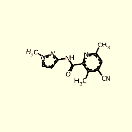 Cc1cc(C#N)c(C)c(C(=O)Nc2ccn(C)n2)n1